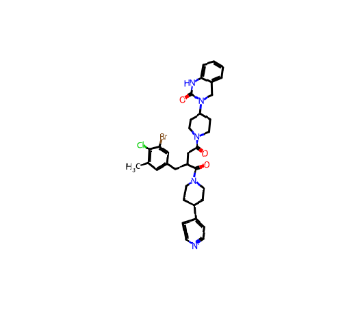 Cc1cc(CC(CC(=O)N2CCC(N3Cc4ccccc4NC3=O)CC2)C(=O)N2CCC(c3ccncc3)CC2)cc(Br)c1Cl